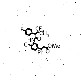 COC(=O)CC(c1ccc(Cl)c(NC(=O)[C@H](c2ccc(F)cc2)[C@@H](C)C(F)(F)F)c1)C(C)C